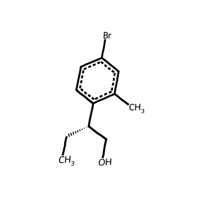 CC[C@@H](CO)c1ccc(Br)cc1C